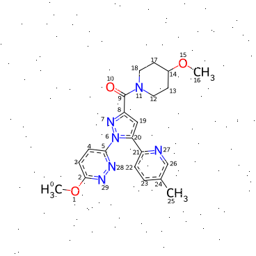 COc1ccc(-n2nc(C(=O)N3CCC(OC)CC3)cc2-c2ccc(C)cn2)nn1